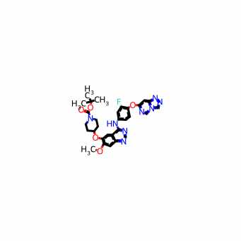 COc1cc2ncnc(Nc3ccc(Oc4cc5nncn5cn4)c(F)c3)c2cc1OC1CCN(C(=O)OC(C)(C)C)CC1